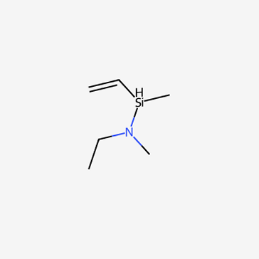 C=C[SiH](C)N(C)CC